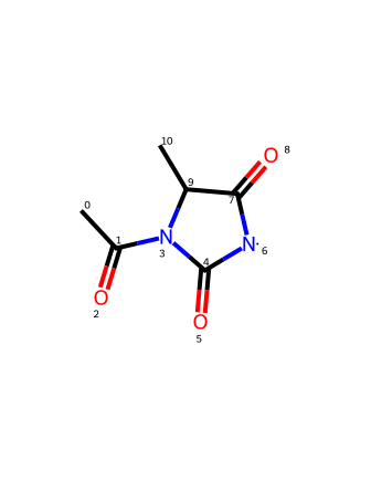 CC(=O)N1C(=O)[N]C(=O)C1C